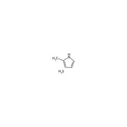 Cc1ccc[nH]1.S